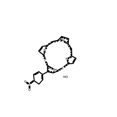 Cl.O=S(=O)=C1C=CC(c2cc3cc4nc(cc5ccc(cc6nc(cc2[nH]3)C=C6)[nH]5)C=C4)=CC1